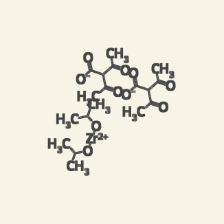 CC(=O)C(C(C)=O)C(=O)[O-].CC(=O)C(C(C)=O)C(=O)[O-].CC(C)[O][Zr+2][O]C(C)C